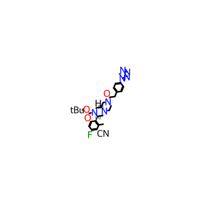 Cc1c([C@@H]2CN3CCN(C(=O)Cc4ccc(-n5cnnn5)cc4)C[C@H]3CN2C(=O)OC(C)(C)C)ccc(F)c1C#N